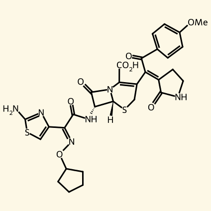 COc1ccc(C(=O)C(=C2CCNC2=O)C2=C(C(=O)O)N3C(=O)[C@@H](NC(=O)C(=NOC4CCCC4)c4csc(N)n4)[C@H]3SC2)cc1